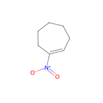 O=[N+]([O-])C1=CCCCCC1